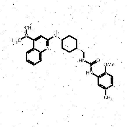 COc1ccc(C)cc1NC(=O)NC[C@H]1CC[C@@H](Nc2cc(N(C)C)c3ccccc3n2)CC1